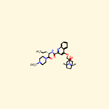 CCOC(=O)N1CCN(C(=O)[C@H](CCC(=O)O)NC(=O)c2cc(OCC(=O)N3[C@@H]4CC[C@H]3CC(=O)C4)c3ccccc3n2)CC1